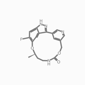 C[C@@H]1CCNC(=O)OCc2cncc(c2)-c2n[nH]c3cc(F)c(cc23)O1